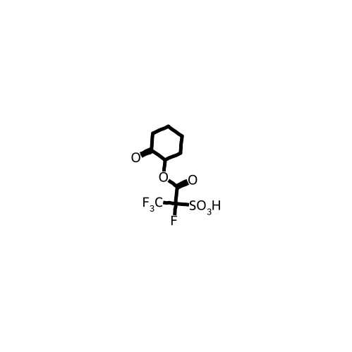 O=C1CCCCC1OC(=O)C(F)(C(F)(F)F)S(=O)(=O)O